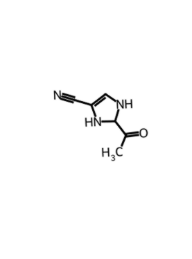 CC(=O)C1NC=C(C#N)N1